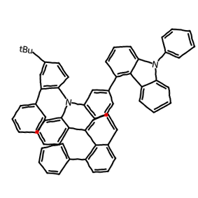 CC(C)(C)c1ccc(N(c2cccc(-c3cccc4c3c3ccccc3n4-c3ccccc3)c2)c2ccccc2-c2cccc3cccc(-c4ccccc4)c23)c(-c2ccccc2)c1